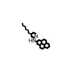 CCCCCCc1ccnc(Nc2cc3ccc4cccc5ccc(c2)c3c45)c1